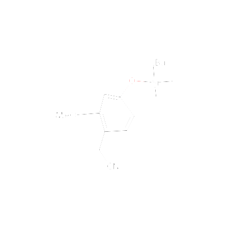 COc1cc(O[Si](C)(C)C(C)(C)C)ccc1CC#N